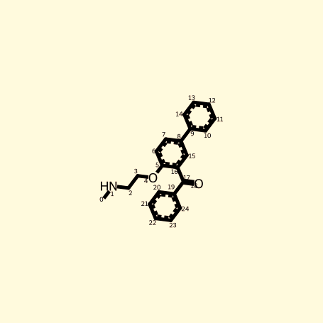 CNCCOc1ccc(-c2ccccc2)cc1C(=O)c1ccccc1